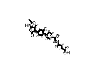 CC(=O)N[C@@H]1OC(=O)C(c2ccc(N3CCN(C(=O)COC(=O)CCC(=O)O)CC3)c(F)c2)C1C